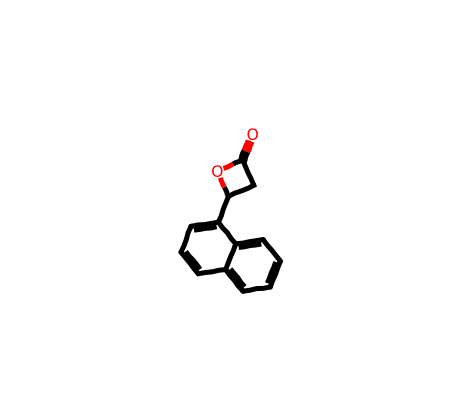 O=C1CC(c2cccc3ccccc23)O1